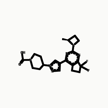 C[C@H]1CCN1c1nc(-c2cnn(C3CCN(C(=O)O)CC3)c2)c2c(n1)C(F)(F)CC2